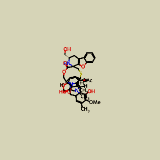 COC1=C(O)C2C(C=C1C)CC1(O)CN(C)[C@@H]2[C@@H]2[C@@H]3SC[C@]4(N[C@H](CO)Cc5c4oc4ccccc54)C(=O)OC[C@@H](c4c5c(c(C)c(OC(C)=O)c43)OCO5)N21